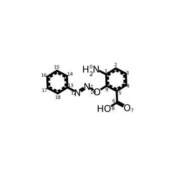 Nc1cccc(C(=O)O)c1ON=Nc1ccccc1